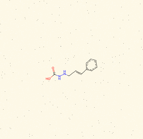 O=C(O)NNCC=Cc1ccccc1